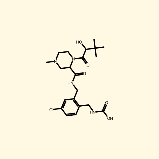 CN1CCN(C(=O)C(O)C(C)(C)C)C(C(=O)NCc2cc(Cl)ccc2CNC(=O)O)C1